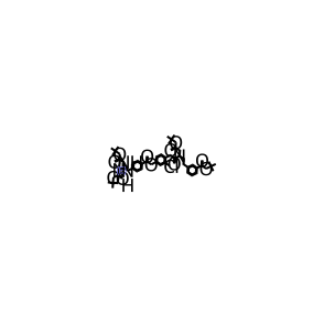 CC(C)(C)OC(=O)CN(CCc1cccc(C(=O)OC(C)(C)C)c1)C(=O)Cc1ccc(OC(=O)c2ccc(N/C(=N\C(=O)OC(C)(C)C)NC(=O)OC(C)(C)C)cc2)cc1Cl